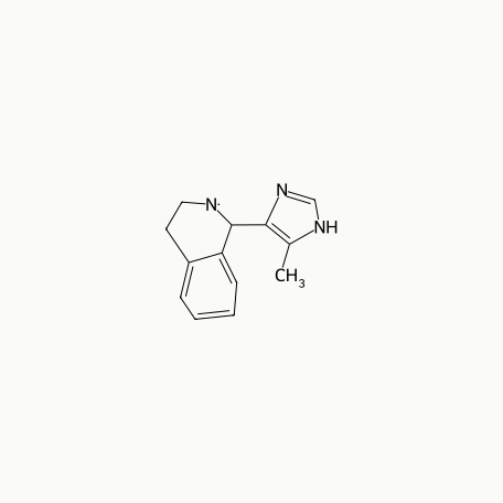 Cc1[nH]cnc1C1[N]CCc2ccccc21